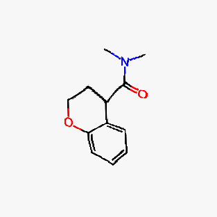 CN(C)C(=O)C1CCOc2ccccc21